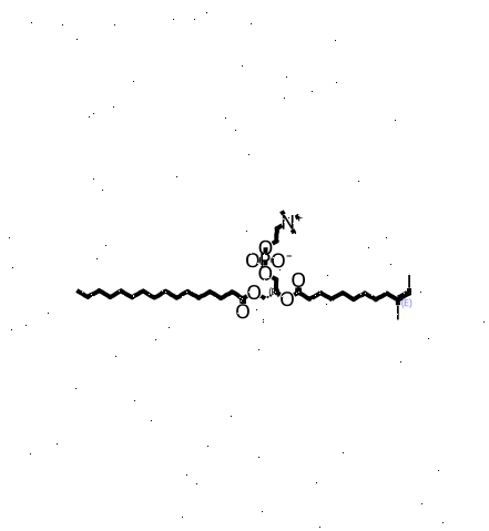 CCCCCCCCCCCCCCCC(=O)OC[C@H](COP(=O)([O-])OCC[N+](C)(C)C)OC(=O)CCCCCCCC/C(I)=C\I